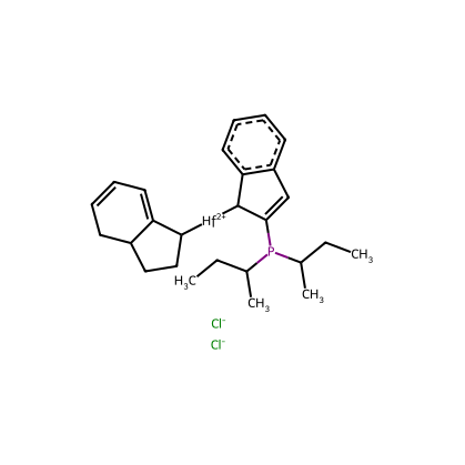 CCC(C)P(C1=Cc2ccccc2[CH]1[Hf+2][CH]1CCC2CC=CC=C21)C(C)CC.[Cl-].[Cl-]